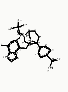 COc1cc(C)c2[nH]ccc2c1CN1CC2CCC1(c1ccc(C(=O)O)cc1)CCN2CC(F)(F)F